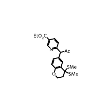 CCOC(=O)c1ccc(C(C(C)=O)c2ccc3c(c2)C(SC)(SC)CCO3)nc1